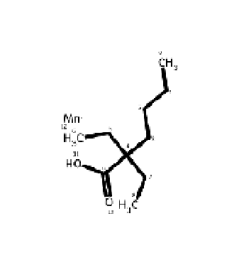 CCCCC(CC)(CC)C(=O)O.[Mn]